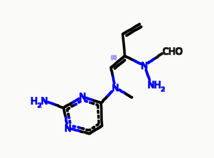 C=C/C(=C/N(C)c1ccnc(N)n1)N(N)C=O